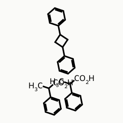 CC(C(=O)O)c1ccccc1.CC(C(=O)O)c1ccccc1.c1ccc(C2CC(c3ccccc3)C2)cc1